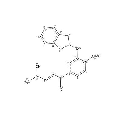 COc1ccc(C(=O)C=CN(C)C)cc1OC1Cc2ccccc2C1